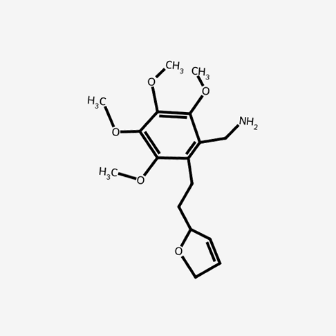 COc1c(CN)c(CCC2C=CCO2)c(OC)c(OC)c1OC